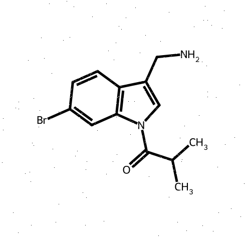 CC(C)C(=O)n1cc(CN)c2ccc(Br)cc21